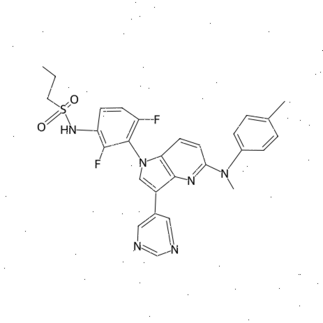 CCCS(=O)(=O)Nc1ccc(F)c(-n2cc(-c3cncnc3)c3nc(N(C)c4ccc(C)cc4)ccc32)c1F